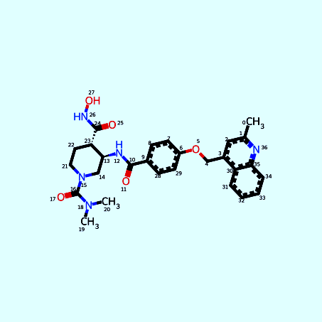 Cc1cc(COc2ccc(C(=O)N[C@H]3CN(C(=O)N(C)C)CC[C@@H]3C(=O)NO)cc2)c2ccccc2n1